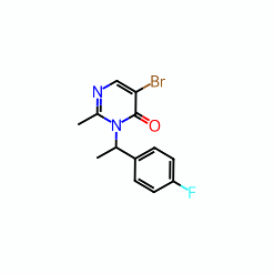 Cc1ncc(Br)c(=O)n1C(C)c1ccc(F)cc1